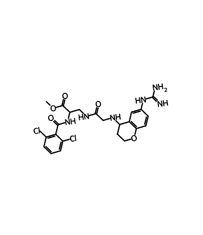 COC(=O)C(CNC(=O)CNC1CCOc2ccc(NC(=N)N)cc21)NC(=O)c1c(Cl)cccc1Cl